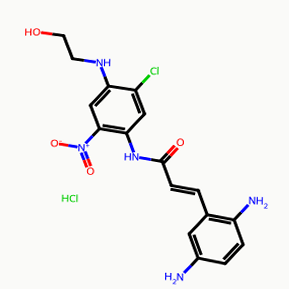 Cl.Nc1ccc(N)c(C=CC(=O)Nc2cc(Cl)c(NCCO)cc2[N+](=O)[O-])c1